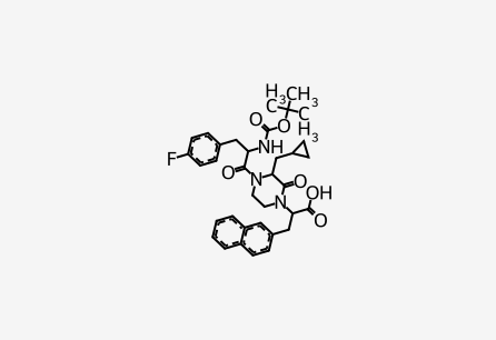 CC(C)(C)OC(=O)NC(Cc1ccc(F)cc1)C(=O)N1CCN(C(Cc2ccc3ccccc3c2)C(=O)O)C(=O)C1CC1CC1